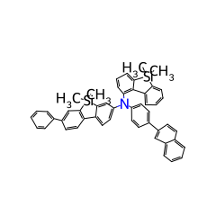 C[Si]1(C)c2cc(-c3ccccc3)ccc2-c2ccc(N(c3ccc(-c4ccc5ccccc5c4)cc3)c3cccc4c3-c3ccccc3[Si]4(C)C)cc21